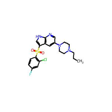 CCCN1CCN(c2cnc3[nH]cc(S(=O)(=O)c4ccc(F)cc4Cl)c3c2)CC1